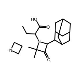 C1C[N]C1.CCC(C(=O)O)N1C(C2C3CC4CC(C3)CC2C4)C(=O)C1(C)C